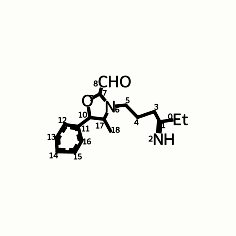 CCC(=N)CCCN1C(C=O)OC(c2ccccc2)C1C